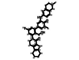 CN1CCc2nc(Nc3cc(-c4cc(F)cc(N5CCc6c(sc7c6CCCC7)C5=O)c4CO)cn(C)c3=O)ccc2C1